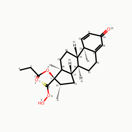 CCC(=O)O[C@]1(C(=S)OO)[C@@H](C)C[C@H]2[C@@H]3CCC4=CC(=O)C=C[C@]4(C)[C@H]3CC[C@@]21C